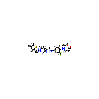 Fc1cc(NCC2C3CN(Cc4cccs4)CC23)ccc1N1CCOCC1